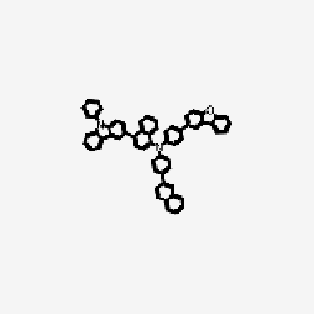 c1ccc(-n2c3ccccc3c3cc(-c4ccc(N(c5ccc(-c6ccc7ccccc7c6)cc5)c5ccc(-c6ccc7oc8ccccc8c7c6)cc5)c5ccccc45)ccc32)cc1